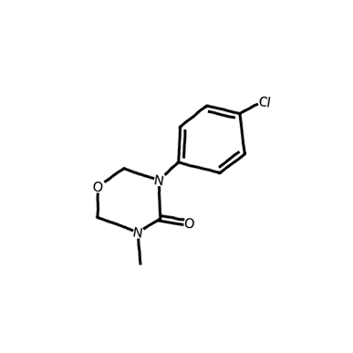 CN1COCN(c2ccc(Cl)cc2)C1=O